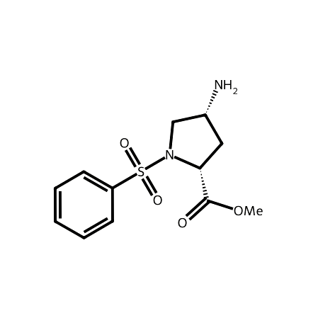 COC(=O)[C@H]1C[C@@H](N)CN1S(=O)(=O)c1ccccc1